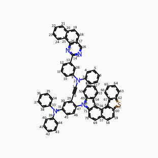 C(#CN(c1ccccc1)c1cccc(-c2ncc3ccc4ccccc4c3n2)c1)c1cc(N(c2ccccc2)c2ccccc2)ccc1-n1c2ccccc2c2c3c(ccc4sc5ccccc5c43)ccc21